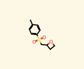 Cc1ccc(S(=O)(=O)CC2CCO2)cc1